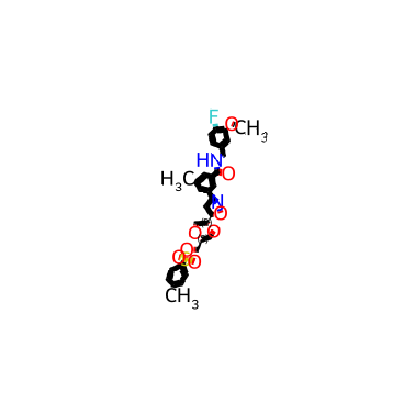 COc1cc(CNC(=O)c2cc(C)cc(C3=NOC([C@H]4CO[C@H](COS(=O)(=O)c5ccc(C)cc5)CO4)C3)c2)ccc1F